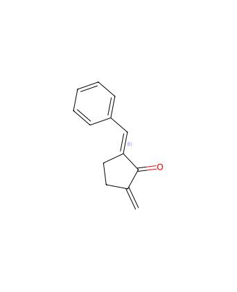 C=C1CC/C(=C\c2ccccc2)C1=O